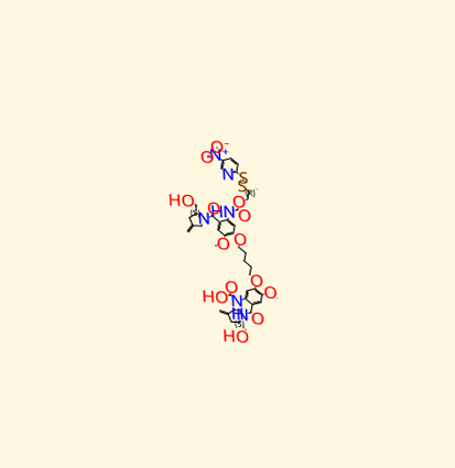 C=C1C[C@@H](CO)N(C(=O)c2cc(OC)c(OCCCCCOc3cc(NC(=O)OC[C@@H](C)SSc4ccc([N+](=O)[O-])cn4)c(C(=O)N4CC(=C)C[C@H]4CO)cc3OC)cc2NC(=O)O)C1